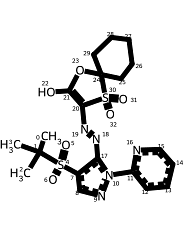 CC(C)(C)S(=O)(=O)c1cnn(-c2ccccn2)c1N=NC1=C(O)OC2(CCCCC2)S1(=O)=O